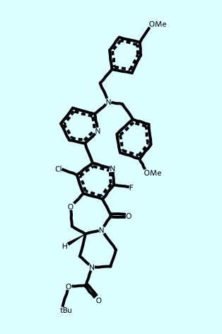 COc1ccc(CN(Cc2ccc(OC)cc2)c2cccc(-c3nc(F)c4c(c3Cl)OC[C@H]3CN(C(=O)OC(C)(C)C)CCN3C4=O)n2)cc1